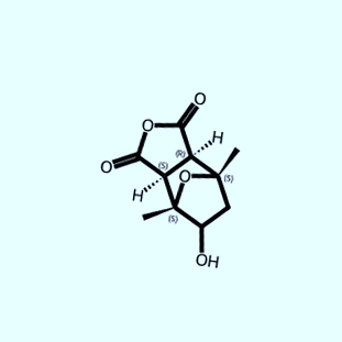 C[C@@]12CC(O)[C@@](C)(O1)[C@H]1C(=O)OC(=O)[C@H]12